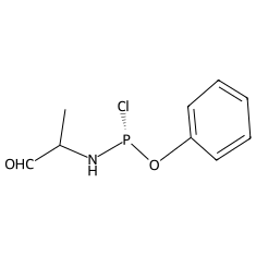 CC(C=O)N[P@](Cl)Oc1ccccc1